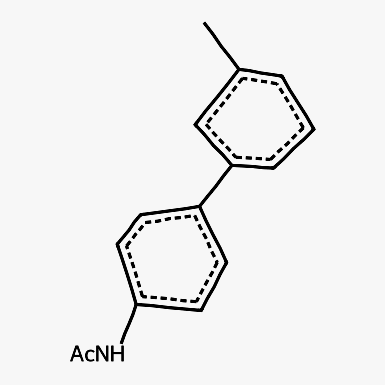 CC(=O)Nc1ccc(-c2cccc(C)c2)cc1